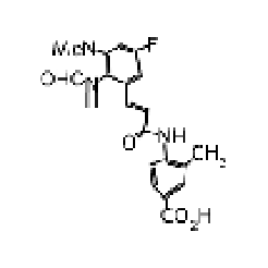 CNc1cc(F)cc(/C=C/C(=O)Nc2ccc(C(=O)O)cc2C)c1NC=O